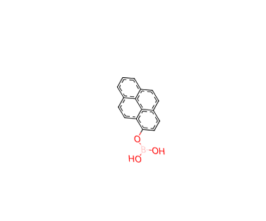 OB(O)Oc1ccc2ccc3cccc4ccc1c2c34